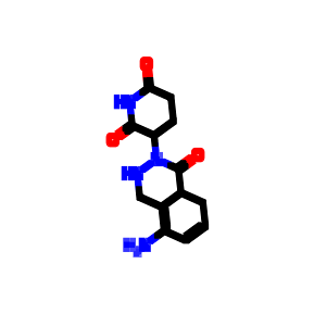 NC1=C2CNN(C3CCC(=O)NC3=O)C(=O)C2CC=C1